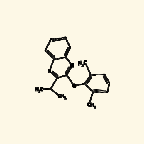 Cc1cccc(C)c1Oc1nc2ccccc2nc1C(C)C